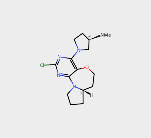 CN[C@@H]1CCN(c2nc(Cl)nc3c2OCC[C@@H]2CCCN32)C1